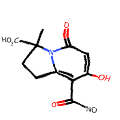 CC1(C(=O)O)CCc2c(C(=O)N=O)c(O)cc(=O)n21